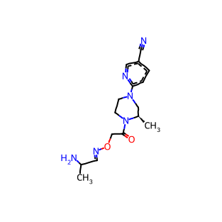 CC(N)/C=N/OCC(=O)N1CCN(c2ccc(C#N)cn2)C[C@H]1C